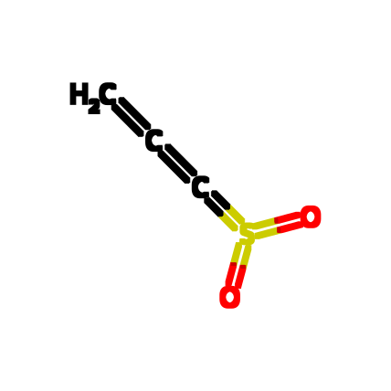 C=C=C=S(=O)=O